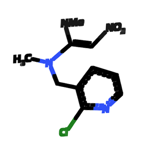 CNC(=C[N+](=O)[O-])N(C)Cc1cccnc1Cl